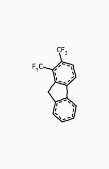 FC(F)(F)c1ccc2c(c1C(F)(F)F)Cc1ccccc1-2